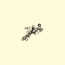 Cl.NC(=O)[C@H](Cc1ccccc1)NCCCCC(=O)N(C[C@H]1CN(c2ccc(N3CCOCC3=O)cc2F)C(=O)O1)C(=O)c1ccc(Cl)s1